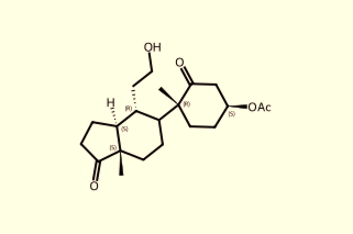 CC(=O)O[C@H]1CC[C@](C)(C2CC[C@]3(C)C(=O)CC[C@H]3[C@@H]2CCO)C(=O)C1